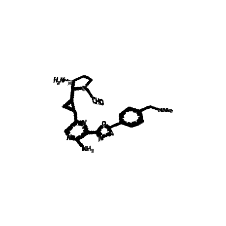 CNCc1ccc(-c2nnc(-c3nc(C4CC4C4[C@H](N)CCN4C=O)cnc3N)o2)cc1